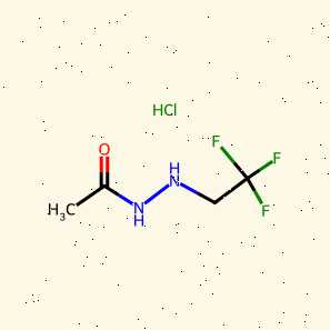 CC(=O)NNCC(F)(F)F.Cl